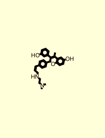 CC1=C(c2cccc(O)c2)C(c2ccc(/C=C\CNCCN(C)C)cc2)Oc2ccc(O)cc21